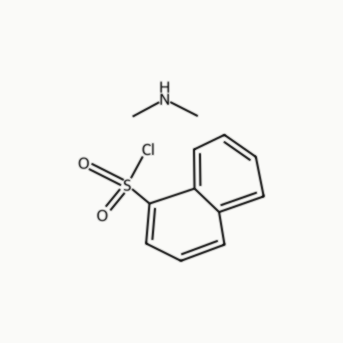 CNC.O=S(=O)(Cl)c1cccc2ccccc12